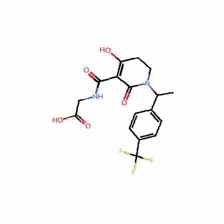 CC(c1ccc(C(F)(F)F)cc1)N1CCC(O)=C(C(=O)NCC(=O)O)C1=O